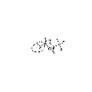 O=C(O)N1C2CCC1CC(NC(=O)C(F)(F)F)C2